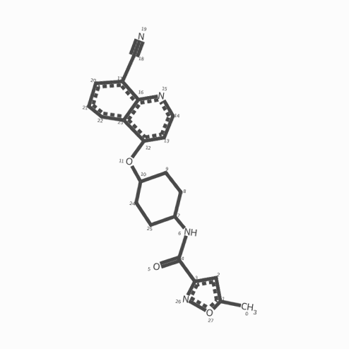 Cc1cc(C(=O)NC2CCC(Oc3ccnc4c(C#N)cccc34)CC2)no1